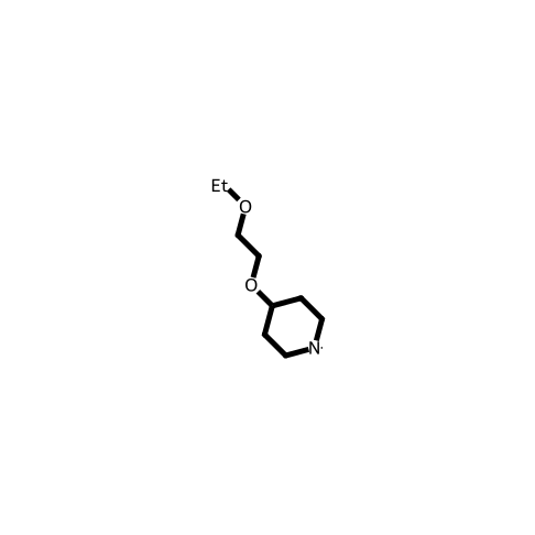 CCOCCOC1CC[N]CC1